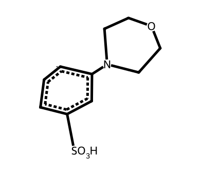 O=S(=O)(O)c1cc[c]c(N2CCOCC2)c1